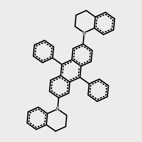 c1ccc(-c2c3ccc(N4CCCc5ccccc54)cc3c(-c3ccccc3)c3ccc(N4CCCc5ccccc54)cc23)cc1